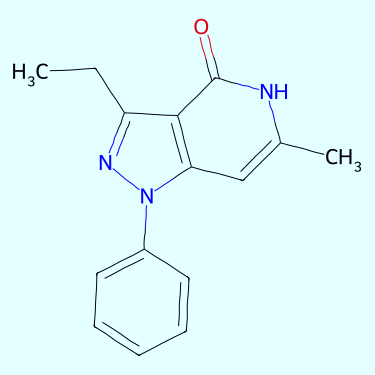 CCc1nn(-c2ccccc2)c2cc(C)[nH]c(=O)c12